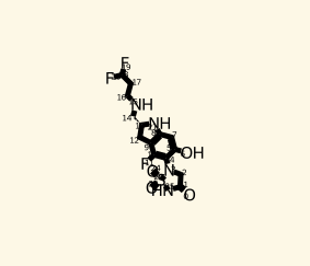 O=C1CN(c2c(O)cc3c(c2F)C[C@H](CNCCC(F)F)N3)S(=O)(=O)N1